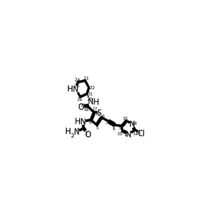 NC(=O)Nc1cc(C#Cc2cnc(Cl)nc2)sc1C(=O)N[C@H]1CCCNC1